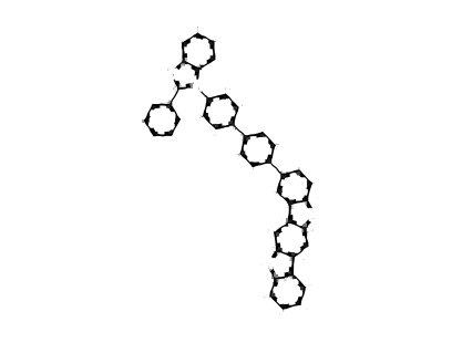 c1ccc(-c2nc3ccccc3n2-c2ccc(-c3ccc(-c4ccc5oc6cc7c(cc6c5c4)oc4ccccc47)cc3)cc2)cc1